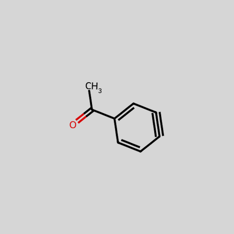 CC(=O)c1cc#ccc1